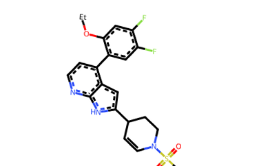 CCOc1cc(F)c(F)cc1-c1ccnc2[nH]c(C3C=CN(S(C)(=O)=O)CC3)cc12